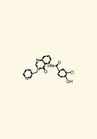 O=C(Nc1cccc2ncn(Cc3cccnc3)c(=O)c12)c1ccc(O)c(Cl)c1